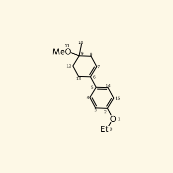 CCOc1ccc(C2=CCC(C)(OC)CC2)cc1